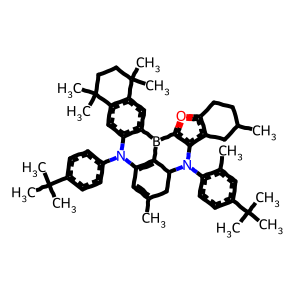 CC1=CC2=C3B(c4cc5c(cc4N2c2ccc(C(C)(C)C)cc2)C(C)(C)CCC5(C)C)c2oc4c(c2N(c2ccc(C(C)(C)C)cc2C)C3C1)CC(C)CC4